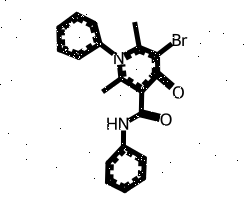 Cc1c(Br)c(=O)c(C(=O)Nc2ccccc2)c(C)n1-c1ccccc1